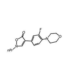 CCCn1cc(-c2ccc(N3CCOCC3)c(F)c2)c(=O)o1